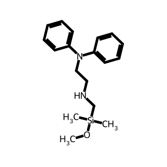 CO[Si](C)(C)CNCCN(c1ccccc1)c1ccccc1